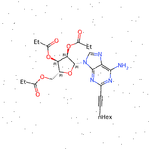 CCCCCCC#Cc1nc(N)c2ncn([C@@H]3O[C@H](COC(=O)CC)[C@@H](OC(=O)CC)[C@H]3OC(=O)CC)c2n1